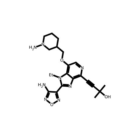 CCn1c(-c2nonc2N)nc2c(C#CC(C)(C)O)ncc(OCC3CCCN(N)C3)c21